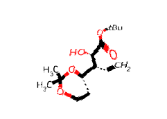 C=C[C@H]([C@@H]1CCOC(C)(C)O1)[C@H](O)C(=O)OC(C)(C)C